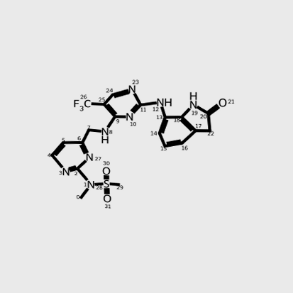 CN(c1nccc(CNc2nc(Nc3cccc4c3NC(=O)C4)ncc2C(F)(F)F)n1)S(C)(=O)=O